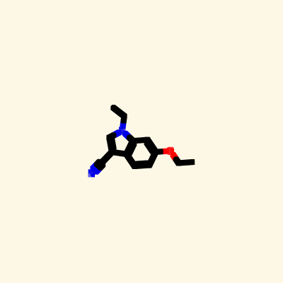 CCOc1ccc2c(C#N)cn(CC)c2c1